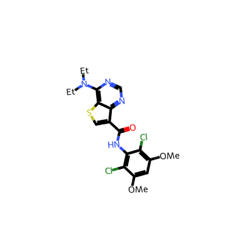 CCN(CC)c1ncnc2c(C(=O)Nc3c(Cl)c(OC)cc(OC)c3Cl)csc12